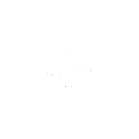 O=[N+]([O-])O.[Co].[O]=[Co]